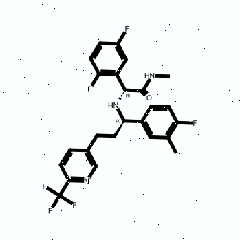 CNC(=O)[C@H](N[C@H](CCc1ccc(C(F)(F)F)nc1)c1ccc(F)c(C)c1)c1cc(F)ccc1F